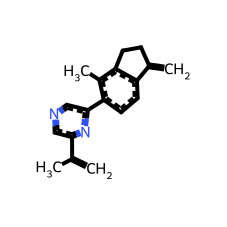 C=C(C)c1cncc(-c2ccc3c(c2C)CCC3=C)n1